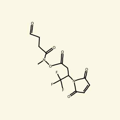 CN(OC(=O)CC(N1C(=O)C=CC1=O)C(F)(F)F)C(=O)CCC=O